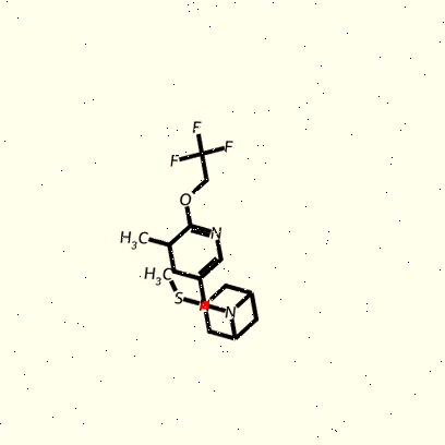 CSN1CC2CC(C1)N2CC1=CN=C(OCC(F)(F)F)C(C)C1